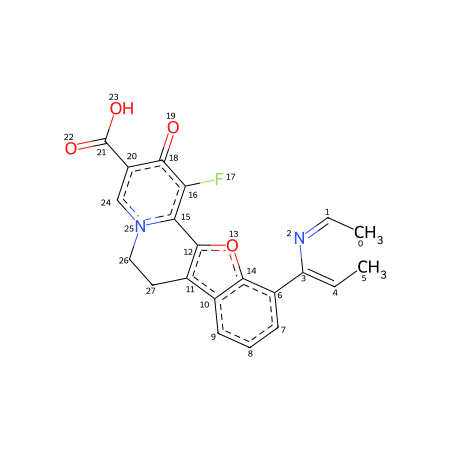 C/C=N\C(=C/C)c1cccc2c3c(oc12)-c1c(F)c(=O)c(C(=O)O)cn1CC3